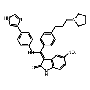 O=C1Nc2ccc([N+](=O)[O-])cc2C1=C(Nc1ccc(-c2c[nH]cn2)cc1)c1ccc(CCCN2CCCC2)cc1